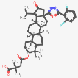 CC(C)C1=C2[C@H]3CC[C@@H]4[C@@]5(C)CC[C@H](OC(=O)CC(C)(C)C(=O)O)C(C)(C)[C@@H]5CC[C@@]4(C)[C@]3(C)CCC2(c2nnc(-c3c(F)cccc3F)o2)CC1=O